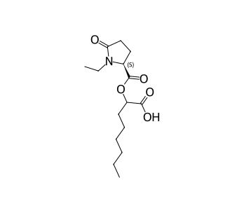 CCCCCCC(OC(=O)[C@@H]1CCC(=O)N1CC)C(=O)O